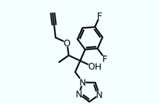 C#CCOC(C)C(O)(Cn1cncn1)c1ccc(F)cc1F